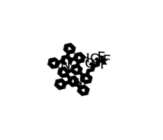 O=C(/C=C(\O)C(F)(F)F)CCc1ccccc1-c1cc(-c2ccccc2-c2cnc(-c3ccccc3)cc2-c2ccccc2)cc(-c2ccccc2-c2cnc(-c3ccccc3)cc2-c2ccccc2)c1